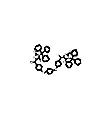 O=C1OC(C(Cl)c2ccc(Oc3ccc(Oc4ccc(C(Cl)C5OC(=O)N(C(c6ccccc6)(c6ccccc6)c6ccccc6)C5=O)cc4)cc3)cc2)C(=O)N1C(c1ccccc1)(c1ccccc1)c1ccccc1